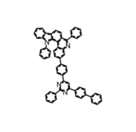 c1ccc(-c2ccc(-c3cc(-c4ccc(-c5ccc6c(c5)nc(-c5ccccc5)c5ccc7c8ccccc8n(-c8ccccc8)c7c56)cc4)nc(-c4ccccc4)n3)cc2)cc1